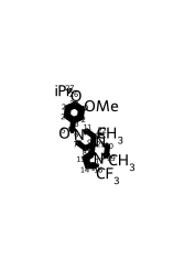 COc1cc(C(=O)N2CCC3(CC2)c2ccc(C(F)(F)F)n2C(C)CN3C)ccc1OC(C)C